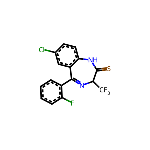 Fc1ccccc1C1=NC(C(F)(F)F)C(=S)Nc2ccc(Cl)cc21